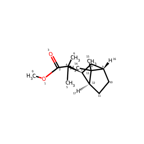 COC(=O)C(C)(C)[C@H]1C[C@@H]2CC[C@@H]1C2(C)C